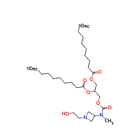 CCCCCCCCCCCCCCCCCC(=O)OCC(COC(=O)N(C)C1CN(CCO)C1)OC(=O)CCCCCCCCCCCCCCCCC